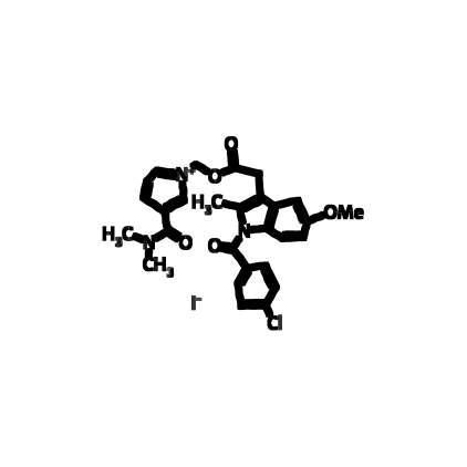 COc1ccc2c(c1)c(CC(=O)OC[n+]1cccc(C(=O)N(C)C)c1)c(C)n2C(=O)c1ccc(Cl)cc1.[I-]